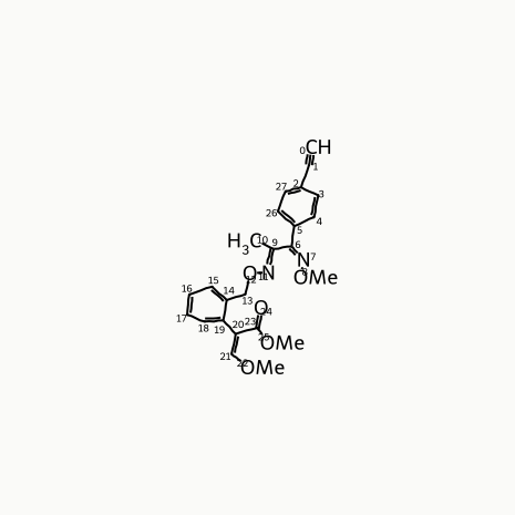 C#Cc1ccc(C(=N/OC)/C(C)=N/OCc2ccccc2/C(=C/OC)C(=O)OC)cc1